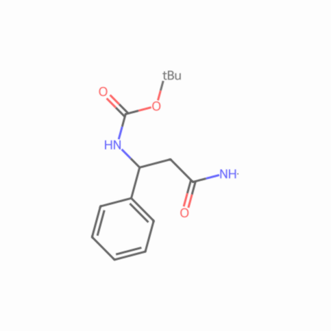 CC(C)(C)OC(=O)NC(CC([NH])=O)c1ccccc1